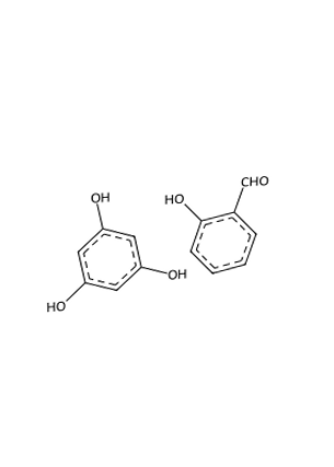 O=Cc1ccccc1O.Oc1cc(O)cc(O)c1